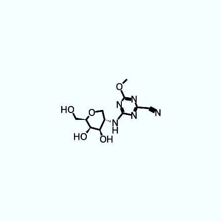 COc1nc(C#N)nc(N[C@H]2CO[C@H](CO)[C@H](O)[C@@H]2O)n1